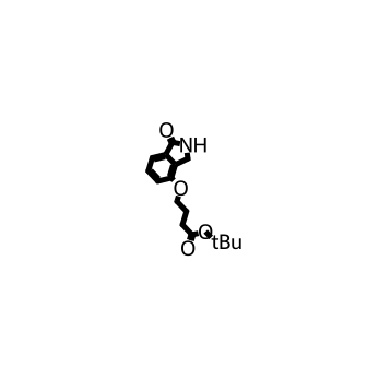 CC(C)(C)OC(=O)CCCOc1cccc2c1CNC2=O